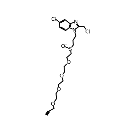 C#CCOCCOCCOCCOCC[S+]([O-])CCCn1c(CCl)nc2cc(Cl)ccc21